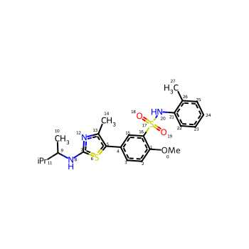 COc1ccc(-c2sc(NC(C)C(C)C)nc2C)cc1S(=O)(=O)Nc1ccccc1C